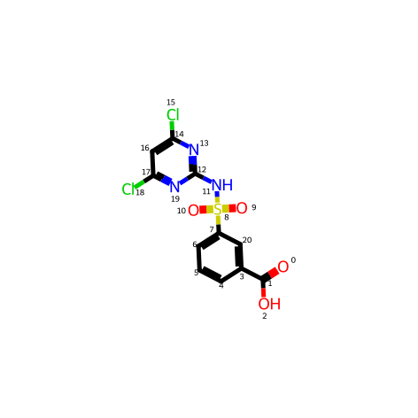 O=C(O)c1cccc(S(=O)(=O)Nc2nc(Cl)cc(Cl)n2)c1